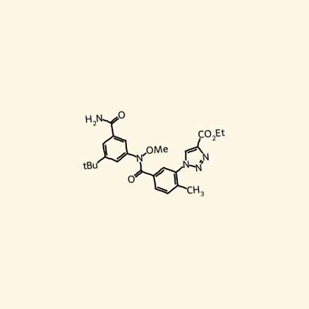 CCOC(=O)c1cn(-c2cc(C(=O)N(OC)c3cc(C(N)=O)cc(C(C)(C)C)c3)ccc2C)nn1